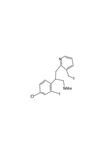 CNCC(Cc1ncccc1CI)c1ccc(Cl)cc1I